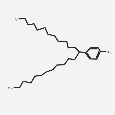 CCCCCCCCCCCCC(CCCCCCCCCCCC)c1ccc(C)cc1